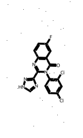 O=c1c2cc(F)ccc2nc(-c2nc[nH]n2)n1-c1ccc(Cl)cc1Cl